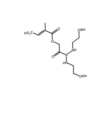 COCCNN(NCCOC)C(=O)COC(=O)C(C)=CC(=O)O